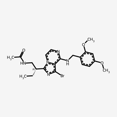 CC[C@H](CNC(C)=O)c1nc(Br)c2c(NCc3ccc(OC)cc3OC)nccn12